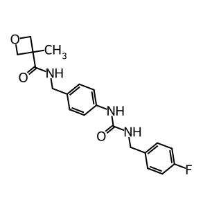 CC1(C(=O)NCc2ccc(NC(=O)NCc3ccc(F)cc3)cc2)COC1